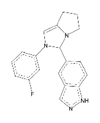 Fc1cccc(N2C=C3CCCN3C2c2ccc3[nH]ncc3c2)c1